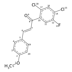 COc1ccc(/C=C/C(=O)c2cc(F)c(Cl)cc2Cl)cc1